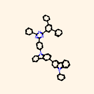 c1ccc(-c2cc(-c3ccccc3)cc(-c3nc(-c4ccccc4)nc(-c4ccc(-n5c6ccccc6c6cc(-c7ccc8c(c7)c7ccccc7n8-c7ccccc7)ccc65)cc4)n3)c2)cc1